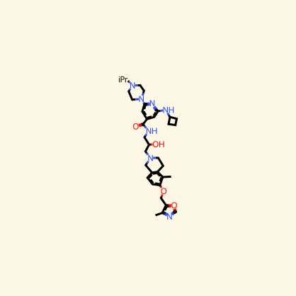 Cc1ncoc1COc1ccc2c(c1C)CCN(CC(O)CNC(=O)c1cc(NC3CCC3)nc(N3CCN(C(C)C)CC3)c1)C2